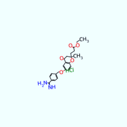 CCOC(=O)CCC1(C)CC(=O)c2cc(OCc3ccc(C(=N)N)cc3)ccc2O1.Cl